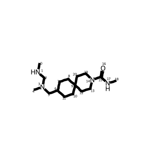 CNCN(C)CC1CCC2(CC1)CCN(C(=O)NC)CC2